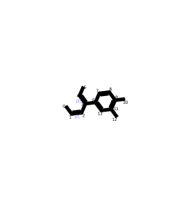 C/C=C\C(=C\C)c1ccc(C)c(C)c1